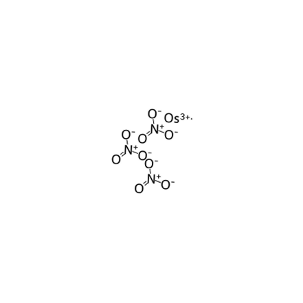 O=[N+]([O-])[O-].O=[N+]([O-])[O-].O=[N+]([O-])[O-].[Os+3]